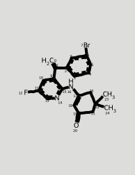 C=C(c1cccc(Br)c1)c1cc(F)cnc1NC1=CC(=O)CC(C)(C)C1